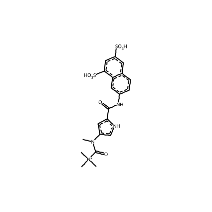 CN(C(=O)[N+](C)(C)C)c1c[nH]c(C(=O)Nc2ccc3cc(S(=O)(=O)O)cc(S(=O)(=O)O)c3c2)c1